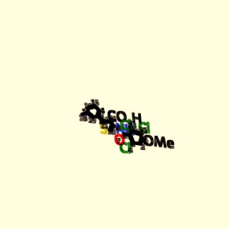 COc1cc(Cl)c(C(=O)Nc2csc(-c3cccc(C)c3)c2C(=O)O)c(Cl)c1Cl